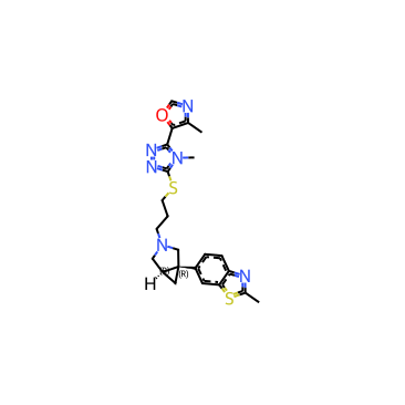 Cc1nc2ccc([C@@]34C[C@H]3CN(CCCSc3nnc(-c5ocnc5C)n3C)C4)cc2s1